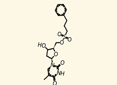 Cc1cn([C@H]2CC(O)[C@@H](COS(=O)(=O)CCCc3ccccc3)O2)c(=O)[nH]c1=O